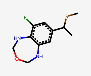 CSC(C)c1cc(F)c2c(c1)NCOCN2